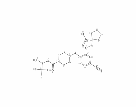 CC(OC(=O)N1CCN(Cc2ccc(C#N)cc2OCC2(C(=O)O)CCCC2)CC1)C(F)(F)F